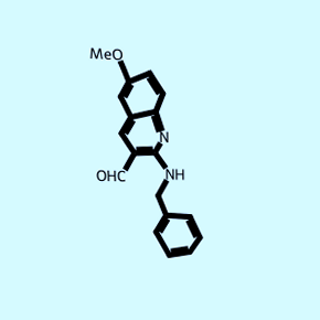 COc1ccc2nc(NCc3ccccc3)c(C=O)cc2c1